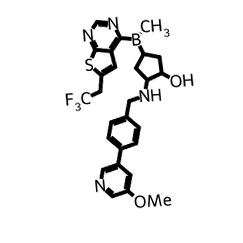 COc1cncc(-c2ccc(CNC3CC(B(C)c4ncnc5sc(CC(F)(F)F)cc45)CC3O)cc2)c1